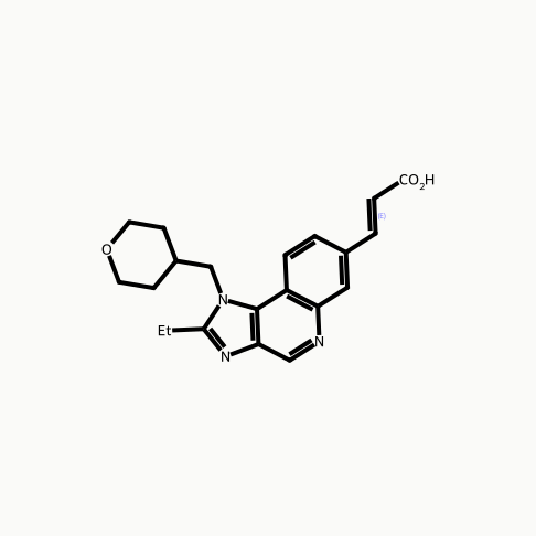 CCc1nc2cnc3cc(/C=C/C(=O)O)ccc3c2n1CC1CCOCC1